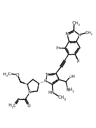 C=CC(=O)N1C[C@@H](n2nc(C#Cc3c(F)cc4c(nc(C)n4C)c3F)c(C(N)O)c2NC)C[C@@H]1COC